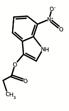 CCC(=O)Oc1c[nH]c2c([N+](=O)[O-])cccc12